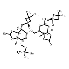 CCC1O[C@@H]2[C@@H](OP3(=O)CC(C)(C)C3)[C@H](S)O[C@H](CO[C@@H]3O[C@H](CO[Si](C)(C)C(C)(C)C)[C@H]4OC(CC)O[C@@H]4[C@H]3OP3(=O)CC(C)(C)C3)[C@H]2O1